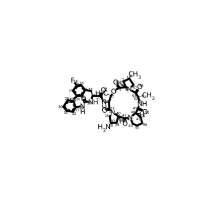 C[C@H]1C[C@H]2C(=O)O[C@@H](C)[C@H](NC(=O)[C@H](Cc3cc(F)cc(F)c3)NC(=O)Nc3ccccc3)C(=O)N3C[C@@H](N)C[C@H]3C(=O)N3CCCC[C@H]3C(=O)N[C@@H](C)C(=O)N2C1